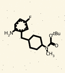 CN(C(=O)OC(C)(C)C)C1CCC(Cc2cc(F)ccc2N)CC1